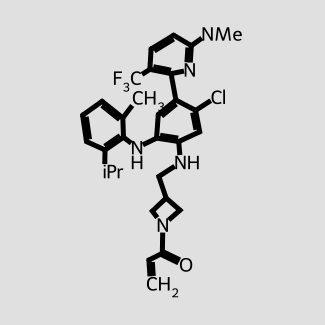 C=CC(=O)N1CC(CNc2cc(Cl)c(-c3nc(NC)ccc3C(F)(F)F)cc2Nc2c(C)cccc2C(C)C)C1